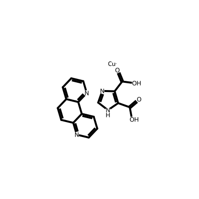 O=C(O)c1nc[nH]c1C(=O)O.[Cu].c1cnc2c(c1)ccc1ncccc12